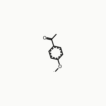 [CH2]Oc1ccc(C(C)=O)cc1